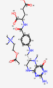 CC(=O)OCC[N+](C)(C)C.CN1c2c(nc(N)[nH]c2=O)NC[C@@H]1CNc1ccc(C(=O)NC(CCC(=O)O)C(=O)O)cc1